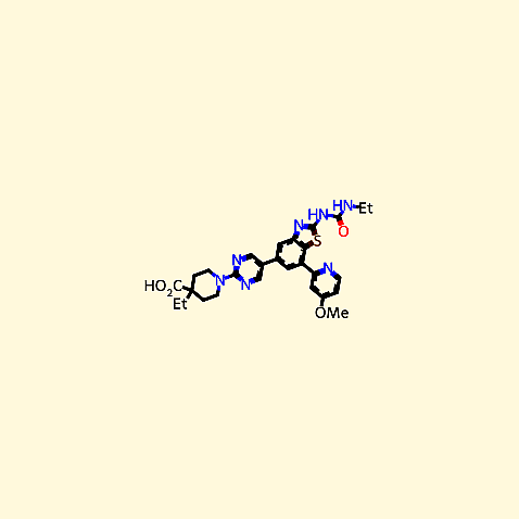 CCNC(=O)Nc1nc2cc(-c3cnc(N4CCC(CC)(C(=O)O)CC4)nc3)cc(-c3cc(OC)ccn3)c2s1